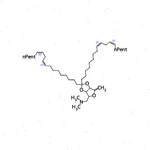 C=C1OC(CN(C)C)C2OC(CCCCCCCC/C=C\C/C=C\CCCCC)(CCCCCCCC/C=C\C/C=C\CCCCC)OC12